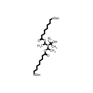 CCCCCCCCCCCCCCCCCC(=O)OC(C)N(C(C)OC(=O)CCCCCCCCCCCCCCCCC)C(C)(C)O